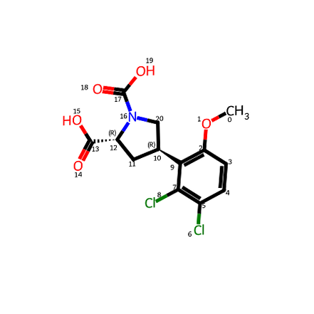 COc1ccc(Cl)c(Cl)c1[C@H]1C[C@H](C(=O)O)N(C(=O)O)C1